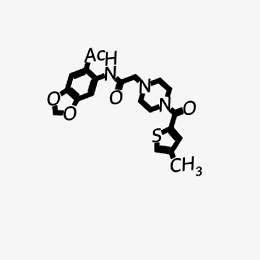 CC(=O)c1cc2c(cc1NC(=O)CN1CCN(C(=O)c3cc(C)cs3)CC1)OCO2